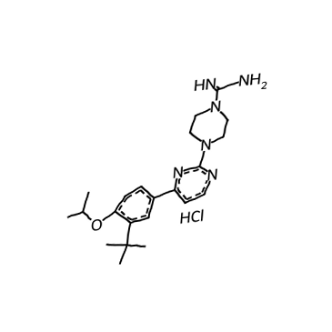 CC(C)Oc1ccc(-c2ccnc(N3CCN(C(=N)N)CC3)n2)cc1C(C)(C)C.Cl